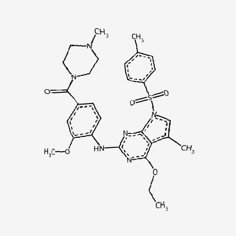 CCOc1nc(Nc2ccc(C(=O)N3CCN(C)CC3)cc2OC)nc2c1c(C)cn2S(=O)(=O)c1ccc(C)cc1